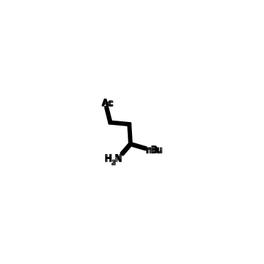 CCCCC(N)CCC(C)=O